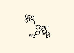 C=C1CCC(=O)N1OC(=O)CCc1ccc(C(O)(c2ccc([18O][13CH2][13CH3])cc2)c2ccc([18O][13CH2][13CH3])cc2)cc1